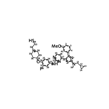 COc1cccc(-c2nc(N(C)CC3CC3)sc2-c2ccnc(Nc3ccc(OC4CCN(CCS)CC4)c(F)c3)n2)c1